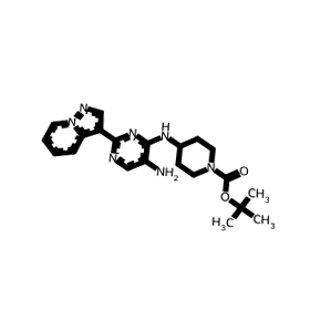 CC(C)(C)OC(=O)N1CCC(Nc2nc(-c3cnn4ccccc34)ncc2N)CC1